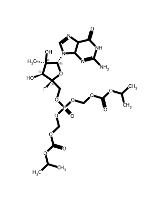 CC(C)OC(=O)OCOP(=O)(OCOC(=O)OC(C)C)OC[C@@]1(F)O[C@@H](N2C=NC3C(=O)NC(N)=NC32)[C@](C)(O)[C@@H]1O